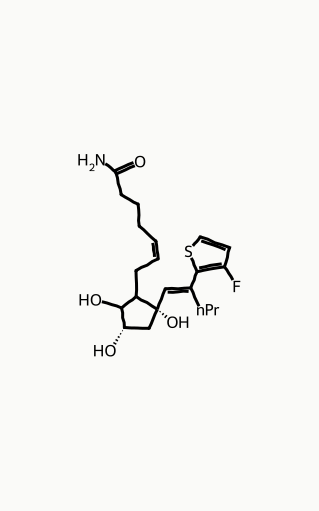 CCC/C(=C\[C@@]1(O)C[C@H](O)C(O)C1C/C=C\CCCC(N)=O)c1sccc1F